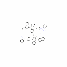 Cc1nc2ccccc2n1-c1ccc(-c2c3ccccc3c(-c3ccc4ccccc4c3)c3ccc(-c4ccc5c(-c6cc7ccccc7c7ccccc67)c6ccccc6c(-c6ccc(-n7c(C)nc8ccccc87)cc6)c5c4)cc23)cc1